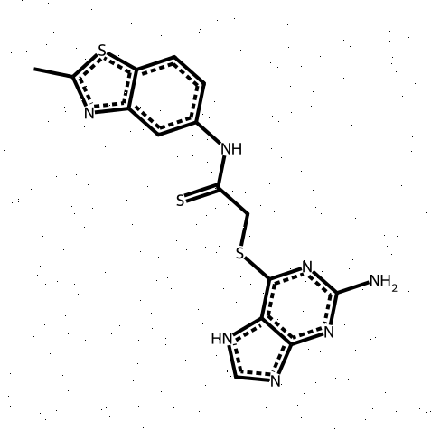 Cc1nc2cc(NC(=S)CSc3nc(N)nc4nc[nH]c34)ccc2s1